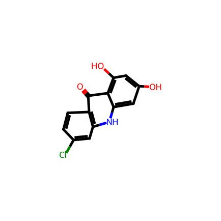 O=c1c2ccc(Cl)cc2[nH]c2cc(O)cc(O)c12